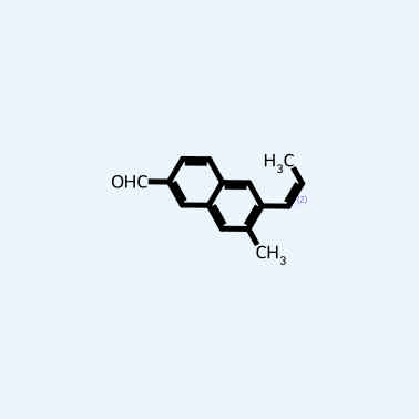 C/C=C\c1cc2ccc(C=O)cc2cc1C